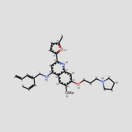 C=C/C=C(\C=C/C)CNc1cc(-c2ccc(C)o2)nc2cc(OCCCN3CCCC3)c(OC)cc12